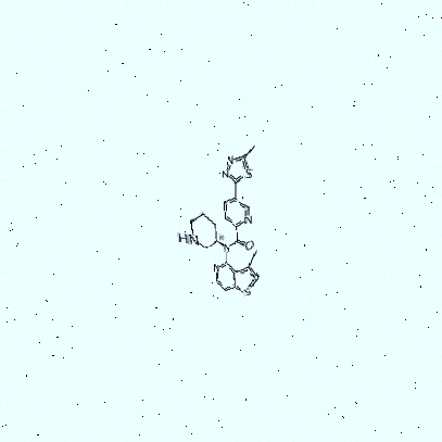 Cc1nnc(-c2ccc(C(=O)N(c3nccc4scc(C)c34)[C@@H]3CCCNC3)nc2)s1